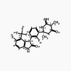 CN1C(=N)N[C@](C)(c2cccc(-n3c(=O)[nH]c4ccc(F)c(C(F)(F)F)c43)c2F)CC1=O